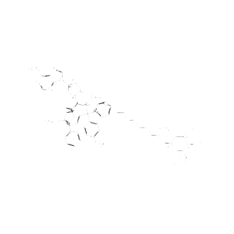 COc1ccc(C(OC(C(=O)COc2ccccc2)[C@H]2O[C@@H](n3cnc4c(N)ncnc43)[C@H](F)[C@@H]2OP(CCOCCOCCOCCO[C@@H]2O[C@H](COC(C)=O)[C@H](OC(C)=O)[C@H](OC(C)=O)[C@H]2NC(C)=O)N(C(C)C)C(C)C)(c2ccccc2)c2ccc(OC)cc2)cc1